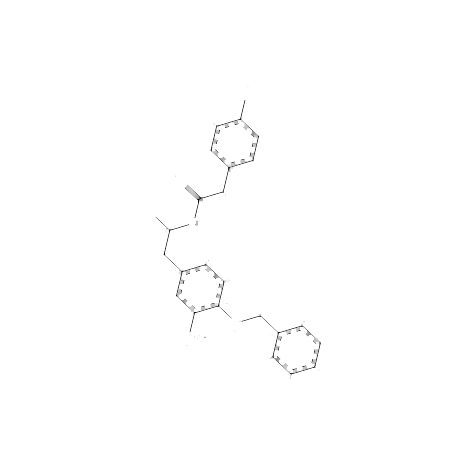 COc1cc(CC(C)NC(=O)Cc2ccc(C)cc2)ccc1OCc1ccccc1